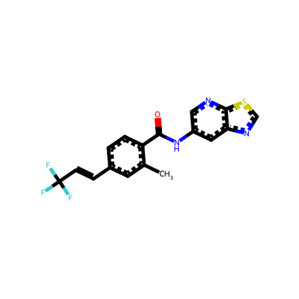 Cc1cc(C=CC(F)(F)F)ccc1C(=O)Nc1cnc2scnc2c1